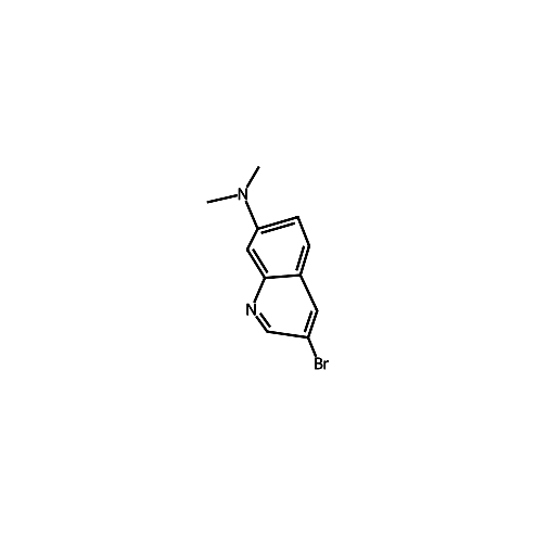 CN(C)c1ccc2cc(Br)cnc2c1